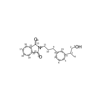 CC(CO)c1cccc(CCCN2C(=O)c3ccccc3C2=O)c1